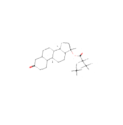 CC(C)(C)CC(C)(C(=O)OC1(C)CC[C@H]2C3CCC4CC(=O)CC[C@]4(C)[C@H]3CC[C@@]21C)C(C)(C)C